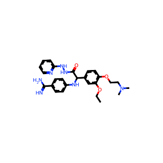 CCOc1cc(C(Nc2ccc(C(=N)N)cc2)C(=O)NNc2ccccn2)ccc1OCCN(C)C